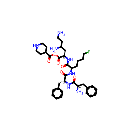 NCCC(N)C[C@@H](NC(=O)C(CCCCF)NC(=O)[C@@H](Cc1ccccc1)NC(=O)[C@H](N)Cc1ccccc1)C(=O)OC(=O)C1CCNCC1